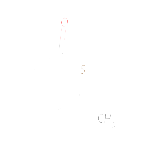 C[C@@H]1CCCC(=O)S1